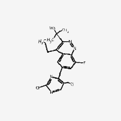 CCc1c(C(C)(C)O)nnc2c(F)cc(-c3nc(Cl)ncc3Cl)cc12